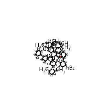 CCCCc1ccc(N2c3cc(-c4c(C)cccc4C)cc4c3B(c3c2oc2cc5c(cc32)C(C)(C)CCC5(C)C)N(c2ccc3c(c2)C(C)(C)CCC3(C)C)c2cc(-c3ccccc3)ccc2-4)c(-c2ccccc2)c1